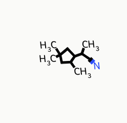 CC(C#N)C1CC(C)(C)CC1C